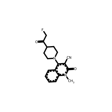 Cn1c(=O)c(C#N)c(N2CCC(C(=O)CF)CC2)c2ccccc21